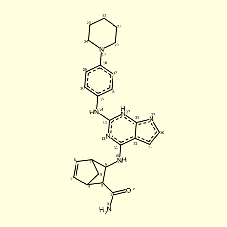 NC(=O)C1C2C=CC(C2)C1Nc1nc(Nc2ccc(N3CCCCC3)cc2)[nH]c2nccc1-2